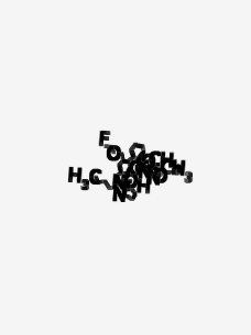 CCCCC1=NC2(CCCC2)C(=O)N1Cc1ccc(-c2ccccc2S(=O)(=O)Nc2noc(C)c2C)c(COCCF)c1